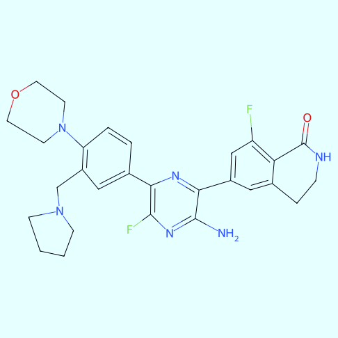 Nc1nc(F)c(-c2ccc(N3CCOCC3)c(CN3CCCC3)c2)nc1-c1cc(F)c2c(c1)CCNC2=O